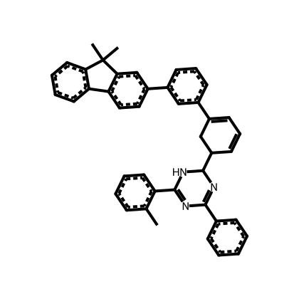 Cc1ccccc1C1=NC(c2ccccc2)=NC(C2C=CC=C(c3cccc(-c4ccc5c(c4)C(C)(C)c4ccccc4-5)c3)C2)N1